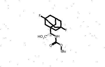 CC(C)(C)OC(=O)N[C@H](C(=O)O)C12CC3CC(F)(CC(F)(C3)C1)C2